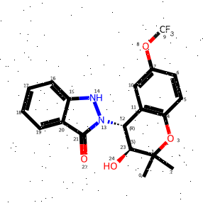 CC1(C)Oc2ccc(OC(F)(F)F)cc2[C@@H](n2[nH]c3ccccc3c2=O)[C@@H]1O